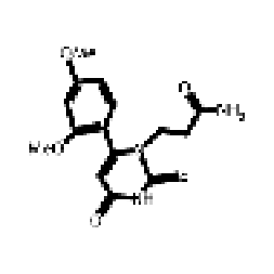 COc1ccc(-c2cc(=O)[nH]c(=S)n2CCC(N)=O)c(OC)c1